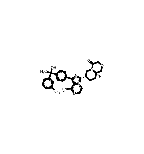 CC(O)(c1ccc(-c2nc([C@H]3CC[C@@H]4COCC(=O)N4C3)n3ccnc(N)c23)cc1)c1cccc(C(F)(F)F)c1